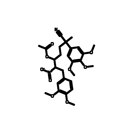 COc1ccc(CC(C(CCC(C)(C#N)c2cc(OC)c(OC)c(OC)c2)OC(C)=O)[N+](=O)[O-])cc1OC